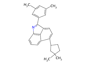 Cc1cc(C)cc(C2=Nc3cccc4c(C5CCC(C)(C)C5)ccc2c34)c1